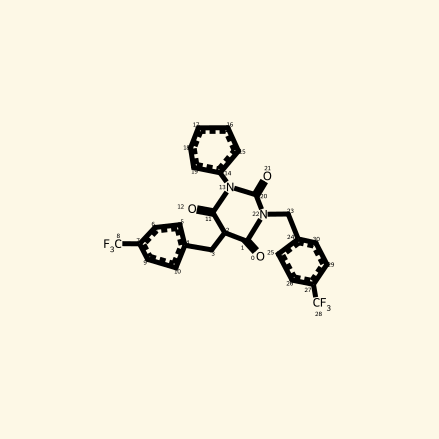 O=C1C(Cc2ccc(C(F)(F)F)cc2)C(=O)N(c2ccccc2)C(=O)N1Cc1ccc(C(F)(F)F)cc1